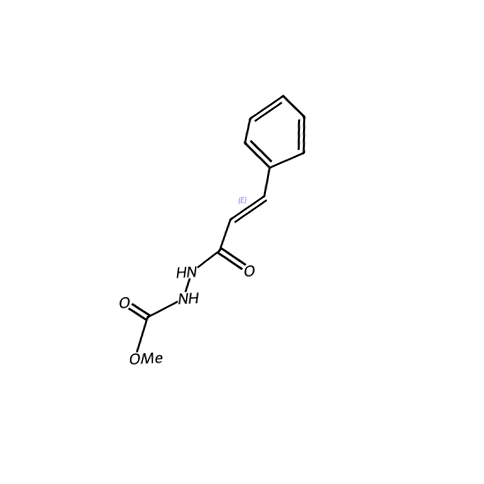 COC(=O)NNC(=O)/C=C/c1ccccc1